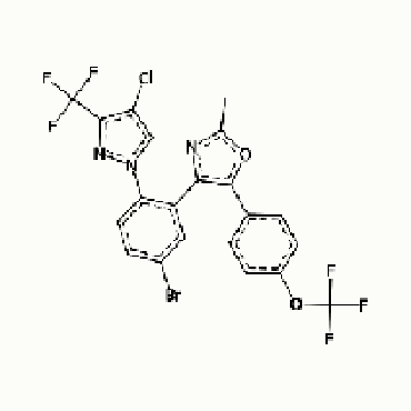 Cc1nc(-c2cc(Br)ccc2-n2cc(Cl)c(C(F)(F)F)n2)c(-c2ccc(OC(F)(F)F)cc2)o1